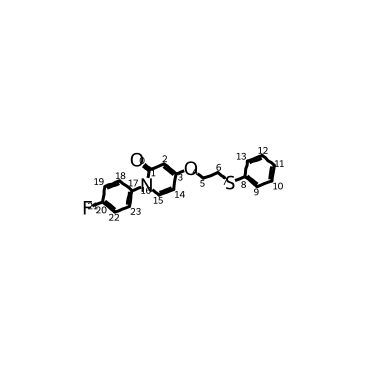 O=c1cc(OCCSc2ccccc2)ccn1-c1ccc(F)cc1